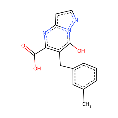 Cc1cccc(Cc2c(C(=O)O)nc3ccnn3c2O)c1